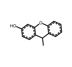 CC1c2ccccc2Oc2cc(O)ccc21